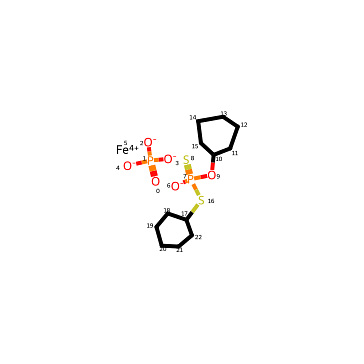 O=P([O-])([O-])[O-].[Fe+4].[O-]P(=S)(OC1CCCCC1)SC1CCCCC1